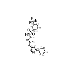 O=S(=O)(N[C@@H]1CCN(Cc2cn(-c3ccccc3)nn2)C1)c1cccc(C(F)(F)F)c1